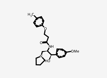 COc1ccc([C@@H](O)[C@@H](CN2CCCC2)NC(=O)CCOc2ccc(C)cc2)cc1